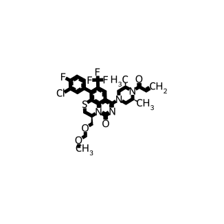 C=CC(=O)N1[C@H](C)CN(c2nc(=O)n3c4c(c(-c5ccc(F)c(Cl)c5)c(C(F)(F)F)cc24)SC[C@@H]3COCOC)C[C@@H]1C